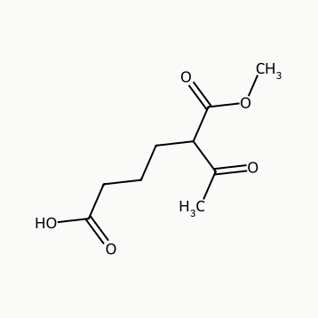 COC(=O)C(CCCC(=O)O)C(C)=O